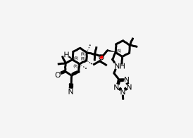 CC(=O)C[C@@H]1[C@@]2(C)C=C(C#N)C(=O)C(C)(C)[C@@H]2CC[C@@]1(C)C(C)(C)CC[C@@]1(CNCc2nnn(C)n2)CCC(C)(C)CC1C